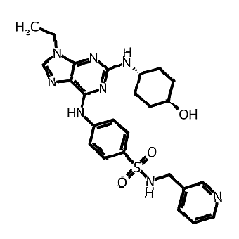 CCn1cnc2c(Nc3ccc(S(=O)(=O)NCc4cccnc4)cc3)nc(N[C@H]3CC[C@H](O)CC3)nc21